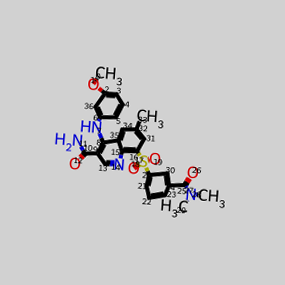 COc1cccc(Nc2c(C(N)=O)cnc3c(S(=O)(=O)c4cccc(C(=O)N(C)C)c4)cc(C)cc23)c1